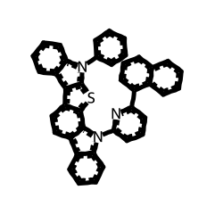 c1ccc(-n2c3ccccc3c3c4ccc5c6ccccc6n(-c6cccc(-c7cccc8ccccc78)n6)c5c4sc32)cc1